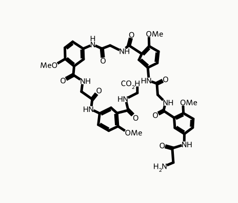 COc1ccc(NC(=O)CNC(=O)c2cc(NC(=O)CNC(=O)c3cc(NC(=O)CNC(=O)c4cc(NC(=O)CN)ccc4OC)ccc3OC)ccc2OC)cc1C(=O)NCC(=O)O